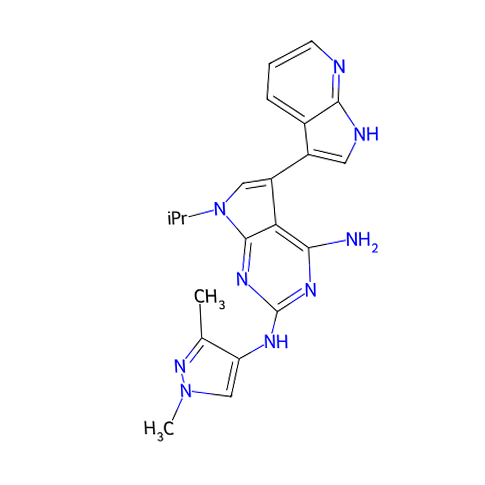 Cc1nn(C)cc1Nc1nc(N)c2c(-c3c[nH]c4ncccc34)cn(C(C)C)c2n1